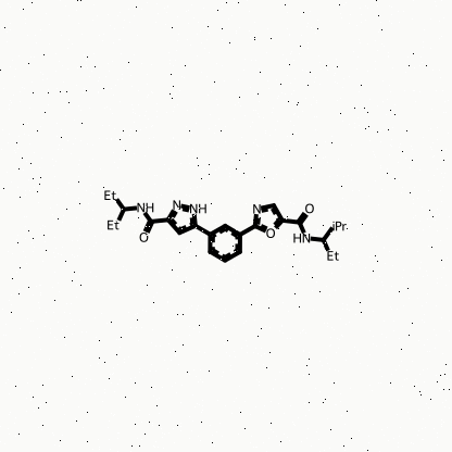 CCC(CC)NC(=O)c1cc(-c2cccc(-c3ncc(C(=O)NC(CC)C(C)C)o3)c2)[nH]n1